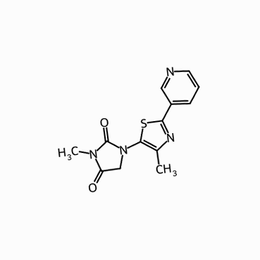 Cc1nc(-c2cccnc2)sc1N1CC(=O)N(C)C1=O